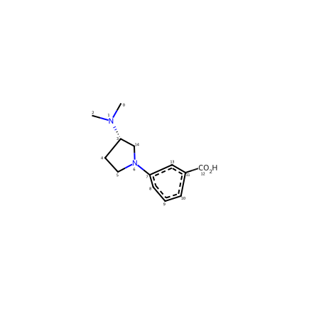 CN(C)[C@H]1CCN(c2cccc(C(=O)O)c2)C1